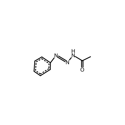 CC(=O)NN=Nc1ccccc1